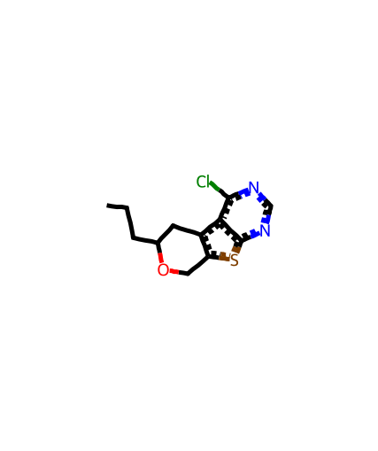 CCCC1Cc2c(sc3ncnc(Cl)c23)CO1